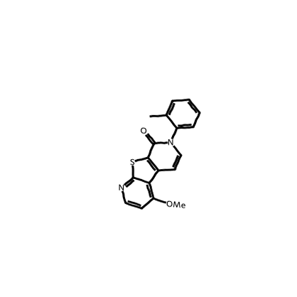 COc1ccnc2sc3c(=O)n(-c4ccccc4C)ccc3c12